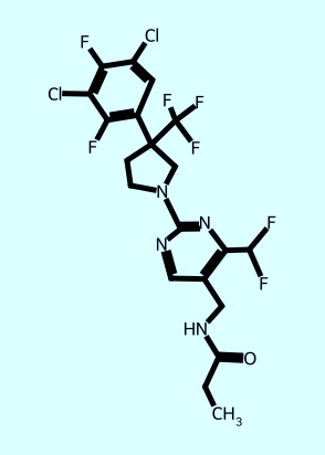 CCC(=O)NCc1cnc(N2CCC(c3cc(Cl)c(F)c(Cl)c3F)(C(F)(F)F)C2)nc1C(F)F